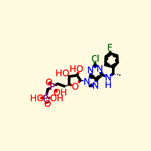 C[C@H](Nc1nc(Cl)nc2c1ncn2[C@@H]1O[C@H](CCP(=O)(O)CP(=O)(O)O)[C@H](O)C1O)c1ccc(F)cc1